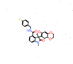 CN1C(=O)C2(COC3=C2CC2OCCOC2=C3)c2c(C(=O)NCc3ccc(F)cc3)cccc21